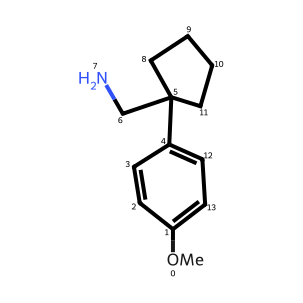 COc1ccc(C2(CN)CCCC2)cc1